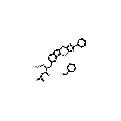 C=Cc1ccccc1.CSC(Cc1ccc2oc(Cc3nc(-c4ccccc4)oc3C)cc2c1)C(=O)N=S(=O)=O